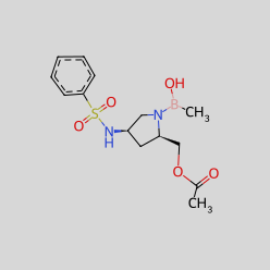 CB(O)N1C[C@H](NS(=O)(=O)c2ccccc2)C[C@@H]1COC(C)=O